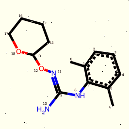 Cc1cccc(C)c1NC(N)=NOC1CCCCO1